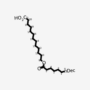 CCCCCCCCCCCCCCCC(=O)OCCCCCCCCCCCCC(=O)O